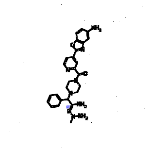 CN(N)/N=C(\N)C(c1ccccc1)N1CCN(C(=O)c2cc(-c3nc4cc(N)ccc4o3)ccn2)CC1